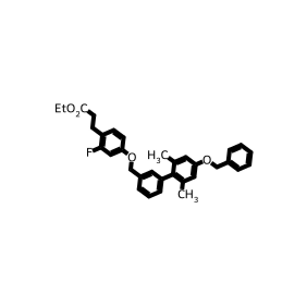 CCOC(=O)CCc1ccc(OCc2cccc(-c3c(C)cc(OCc4ccccc4)cc3C)c2)cc1F